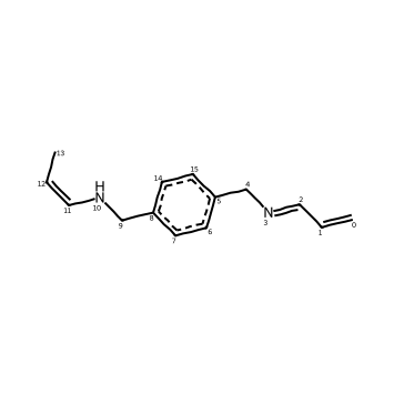 C=C/C=N/Cc1ccc(CN/C=C\C)cc1